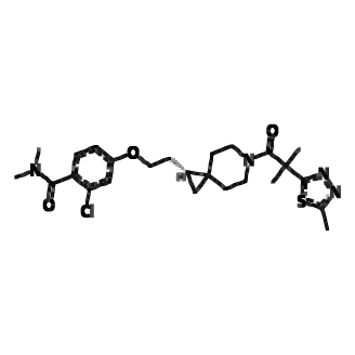 Cc1nnc(C(C)(C)C(=O)N2CCC3(CC2)C[C@@H]3CCOc2ccc(C(=O)N(C)C)c(Cl)c2)s1